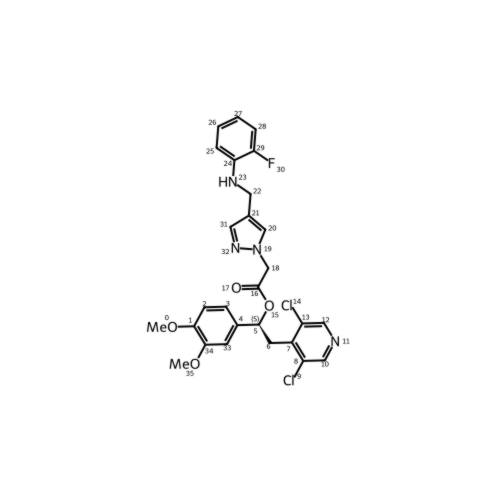 COc1ccc([C@H](Cc2c(Cl)cncc2Cl)OC(=O)Cn2cc(CNc3ccccc3F)cn2)cc1OC